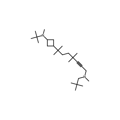 CN(CC#CC(C)(C)CCC(C)(C)C1CC(N(C)C(C)(C)C)C1)CC(C)(C)C